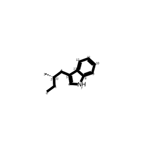 CC[C@H](C)Cc1c[nH]c2ccccc12